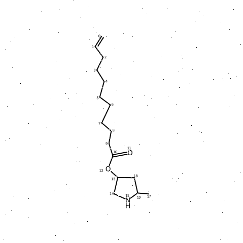 C=CCCCCCCCCC(=O)OC1CNC(C)C1